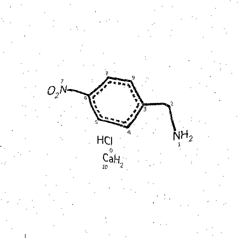 Cl.NCc1ccc([N+](=O)[O-])cc1.[CaH2]